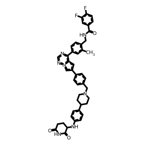 Cc1cc(-c2ncnn3cc(-c4ccc(CN5CCC(c6ccc(NC7CCC(=O)NC7=O)cc6)CC5)cc4)cc23)ccc1CNC(=O)c1ccc(F)c(F)c1